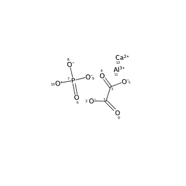 O=C([O-])C(=O)[O-].O=P([O-])([O-])[O-].[Al+3].[Ca+2]